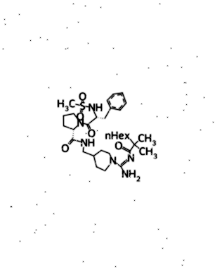 CCCCCCC(C)(C)C(=O)/N=C(/N)N1CCC(CNC(=O)[C@@H]2CCCN2C(=O)[C@@H](Cc2ccccc2)NS(C)(=O)=O)CC1